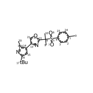 Cc1ccc(S(=O)(=O)C(C)(C)c2nc(-c3cc(C(C)(C)C)nn3C)co2)cc1